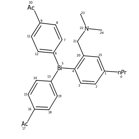 CCCc1cc[c]([Bi]([c]2ccc(C(C)=O)cc2)[c]2ccc(C(C)=O)cc2)c(CN(C)C)c1